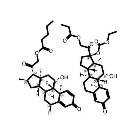 CCCCC(=O)OCC(=O)[C@H]1[C@H](C)C[C@H]2[C@@H]3C[C@H](F)C4=CC(=O)C=C[C@]4(C)[C@@]3(F)[C@@H](O)C[C@@]21C.CCOC(=O)O[C@]1(C(=O)COC(=O)CC)CC[C@H]2[C@@H]3CCC4=CC(=O)C=C[C@]4(C)[C@H]3[C@@H](O)C[C@@]21C